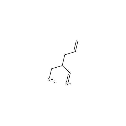 C=CCC(C=N)CN